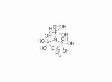 CP(O)(O)(O)N(P(C)(O)(O)O)P(C)(O)(O)O